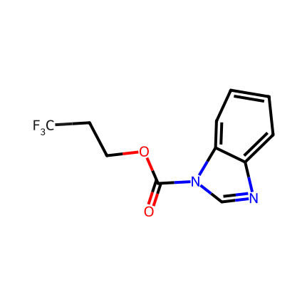 O=C(OCCC(F)(F)F)n1cnc2ccccc21